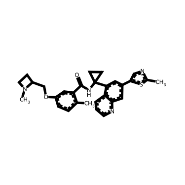 Cc1ncc(-c2cc(C3(NC(=O)c4cc(OCC5CCN5C)ccc4C)CC3)c3cccnc3c2)s1